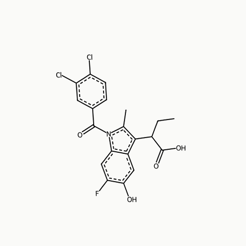 CCC(C(=O)O)c1c(C)n(C(=O)c2ccc(Cl)c(Cl)c2)c2cc(F)c(O)cc12